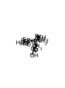 CCC1(c2cccc(Oc3cc(C(C)(N)c4cncn4C)ccc3C#N)c2)CCCCN(CCCO)C1=O.O=C(O)C(F)(F)F.O=C(O)C(F)(F)F